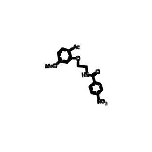 COc1ccc(C(C)=O)c(OCCNC(=O)c2ccc([N+](=O)[O-])cc2)c1